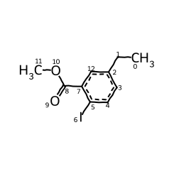 CCc1ccc(I)c(C(=O)OC)c1